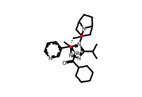 Cc1nnc(C(C)C)n1C1CC2CCC(C1)N2CC[C@H](NC(=O)C1CCCCC1)c1cccnc1